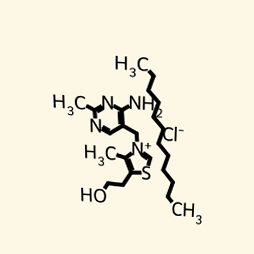 CCCCCCCCCCCC.Cc1ncc(C[n+]2csc(CCO)c2C)c(N)n1.[Cl-]